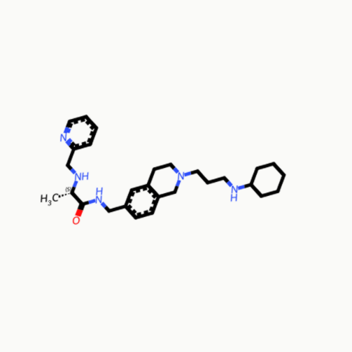 C[C@H](NCc1ccccn1)C(=O)NCc1ccc2c(c1)CCN(CCCNC1CCCCC1)C2